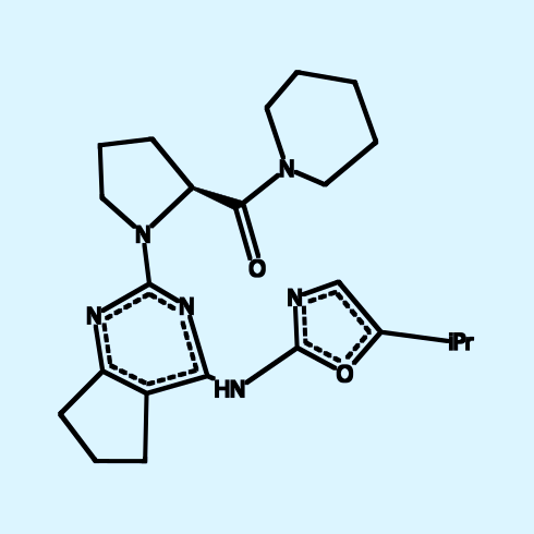 CC(C)c1cnc(Nc2nc(N3CCC[C@H]3C(=O)N3CCCCC3)nc3c2CCC3)o1